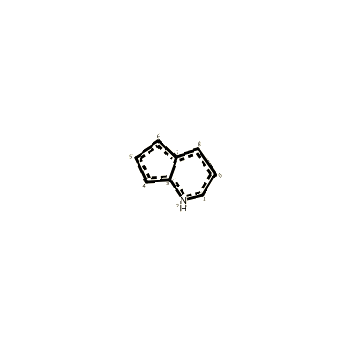 [c]1c[nH]c2cccc-2c1